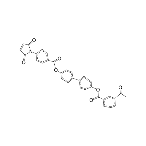 CC(=O)c1cccc(C(=O)Oc2ccc(-c3ccc(OC(=O)c4ccc(N5C(=O)C=CC5=O)cc4)cc3)cc2)c1